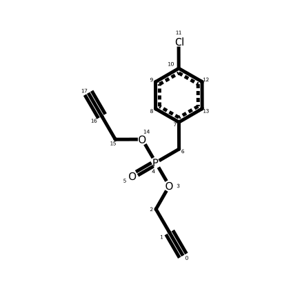 C#CCOP(=O)(Cc1ccc(Cl)cc1)OCC#C